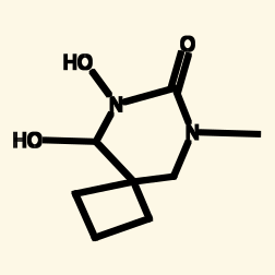 CN1CC2(CCC2)C(O)N(O)C1=O